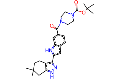 CC1(C)CCc2c(-c3cc4ccc(C(=O)N5CCN(C(=O)OC(C)(C)C)CC5)cc4[nH]3)n[nH]c2C1